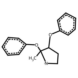 CC1(Oc2ccccc2)[N]CCC1Oc1ccccc1